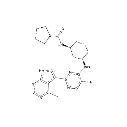 Cc1ncnc2[nH]cc(-c3ncc(F)c(N[C@@H]4CCC[C@H](NC(=O)N5CCCC5)C4)n3)c12